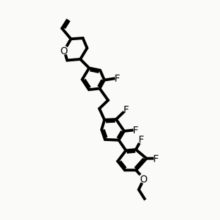 C=CC1CCC(c2ccc(CCc3ccc(-c4ccc(OCC)c(F)c4F)c(F)c3F)c(F)c2)CO1